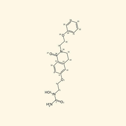 NC(=O)N(O)CCOc1ccc2c(c1)CCN(CCOc1ccccc1)C2=O